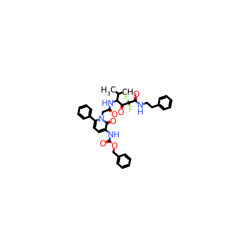 CC(C)C(NC(=O)Cn1c(-c2ccccc2)ccc(NC(=O)OCc2ccccc2)c1=O)C(=O)C(F)(F)C(=O)NCCc1ccccc1